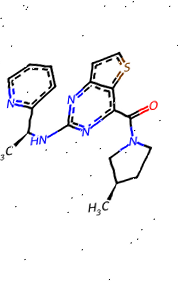 C[C@@H]1CCN(C(=O)c2nc(N[C@@H](C)c3ccccn3)nc3ccsc23)C1